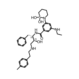 CCNc1cc(C(=O)N[C@@H](Cc2ccccc2)[C@@H](O)CNCCc2ccc(C)cc2)cc(N2CCCCS2(O)O)c1